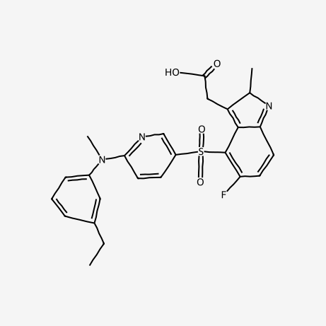 CCc1cccc(N(C)c2ccc(S(=O)(=O)c3c(F)ccc4c3=C(CC(=O)O)C(C)N=4)cn2)c1